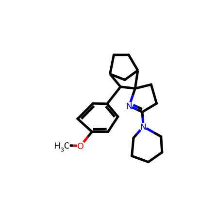 COc1ccc(C2C3CCC(C3)C23CCC(N2CCCCC2)=N3)cc1